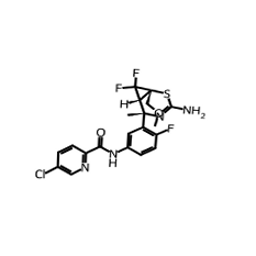 COC[C@@]12SC(N)=N[C@](C)(c3cc(NC(=O)c4ccc(Cl)cn4)ccc3F)[C@@H]1C2(F)F